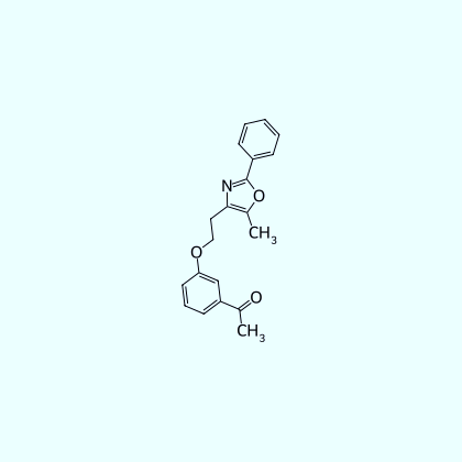 CC(=O)c1cccc(OCCc2nc(-c3ccccc3)oc2C)c1